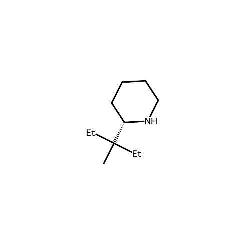 CCC(C)(CC)[C@@H]1CCCCN1